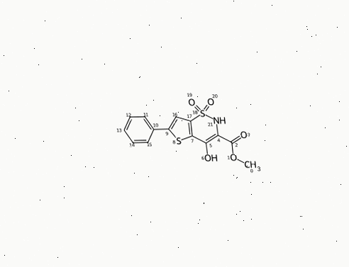 COC(=O)C1=C(O)c2sc(-c3ccccc3)cc2S(=O)(=O)N1